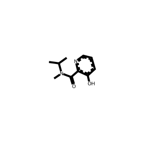 CC(C)N(C)C(=O)c1ncccc1O